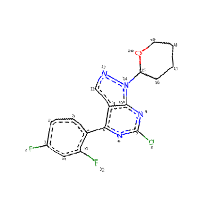 Fc1ccc(-c2nc(Cl)nc3c2cnn3C2CCCCO2)c(F)c1